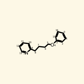 c1ccc(OCCCCc2ccccn2)cc1